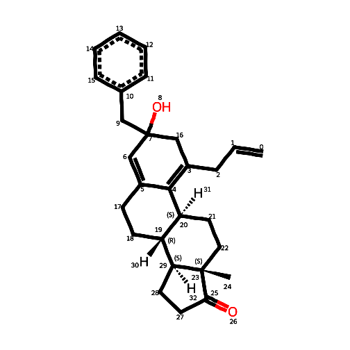 C=CCC1=C2C(=CC(O)(Cc3ccccc3)C1)CC[C@@H]1[C@@H]2CC[C@]2(C)C(=O)CC[C@@H]12